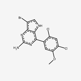 COc1cc(-c2nc(N)nc3c(Br)c[nH]c23)c(Cl)cc1Cl